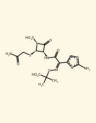 CC(C)(ON=C(C(=O)N[C@@H]1C(=O)N(S(=O)(=O)O)[C@@H]1SCC(N)=O)c1csc(N)n1)C(=O)O